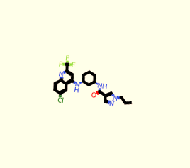 CCCn1cc(C(=O)N[C@@H]2CCC[C@H](Nc3cc(C(F)(F)F)nc4ccc(Cl)cc34)C2)cn1